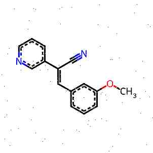 COc1cccc(/C=C(\C#N)c2cccnc2)c1